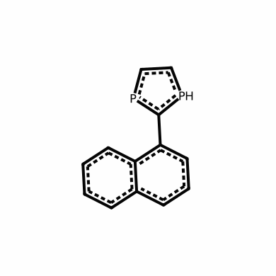 c1ccc2c(-c3pcc[pH]3)cccc2c1